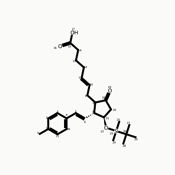 Cc1ccc(C=C[C@@H]2C(CC=CCCCC(=O)O)C(=O)C[C@H]2O[Si](C)(C)C(C)(C)C)cc1